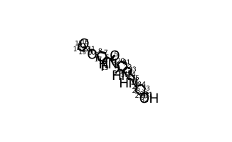 Cc1c(NC(=O)c2ccc(OC[C@@H]3CCCO3)cc2F)ccc2cc(CN[C@H]3CC[C@@](C)(O)CC3)[nH]c12